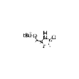 CC(C)(C)OC[C@@H]1CCC(=O)N1